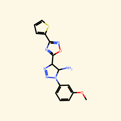 COc1cccc(N2N=NC(c3nc(-c4cccs4)no3)C2N)c1